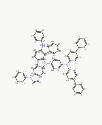 c1ccc(-c2ccc(N(c3ccc(-c4ccccc4)cc3)c3ccc(-n4c5cc6ccn(-c7ccccc7)c6cc5c5ccc6c(c7ccccc7n6-c6ccccc6)c54)cc3)cc2)cc1